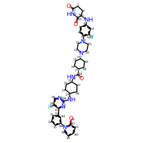 O=C1CC[C@@H](Nc2ccc(N3CCN([C@H]4CC[C@H](C(=O)NC5CCC(Nc6ncc(F)c(-c7cccc(-n8ccccc8=O)c7)n6)CC5)CC4)CC3)c(F)c2)C(=O)N1